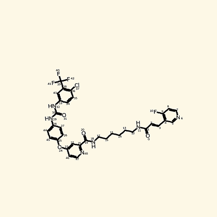 O=C(/C=C/c1cnccc1F)NCCCCCCNC(=O)c1cc(Oc2ccc(NC(=O)Nc3ccc(Cl)c(C(F)(F)F)c3)cc2)ccn1